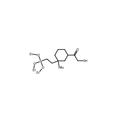 CCCCC1(CC[Si](OCC)(OCC)OCC)CCCC(C(=O)CS)C1